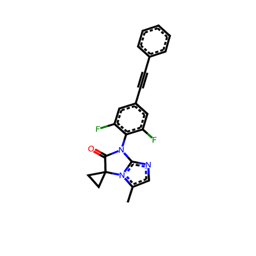 Cc1cnc2n1C1(CC1)C(=O)N2c1c(F)cc(C#Cc2ccccc2)cc1F